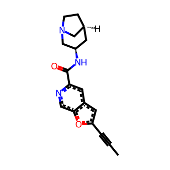 CC#Cc1cc2cc(C(=O)N[C@@H]3C[C@@H]4CCN(C4)C3)ncc2o1